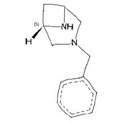 c1ccc(CN2CC3C[C@@H](C2)N3)cc1